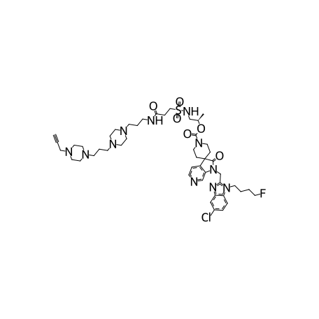 C#CCN1CCN(CCCN2CCN(CCCNC(=O)CCS(=O)(=O)NC[C@@H](C)OC(=O)N3CCC4(CC3)C(=O)N(Cc3nc5cc(Cl)ccc5n3CCCCF)c3cnccc34)CC2)CC1